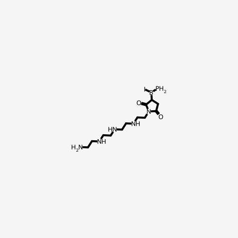 NCCNCCNCCNCCN1C(=O)CC(B(P)I)C1=O